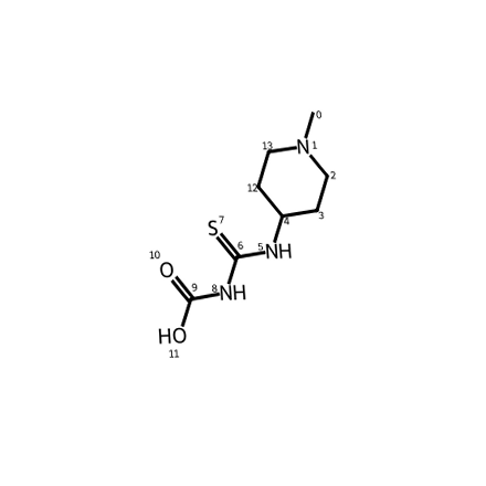 CN1CCC(NC(=S)NC(=O)O)CC1